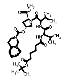 COC(=O)[C@@H]1C[C@@H](OC(=O)N2CCc3ccccc3C2)CN1C(=O)C(NC(=O)[C@@H](NC(=O)CCCCC(=O)OC(C)(C)C)C(C)C)C(C)C